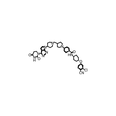 N#Cc1ccc(O[C@H]2CC[C@H](NC(=O)c3ccc(N4CCC(CN5CCC(n6ccc7c(N8CCC(=O)NC8=O)ncnc76)CC5)CC4)cc3)CC2)cc1Cl